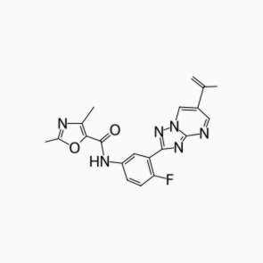 C=C(C)c1cnc2nc(-c3cc(NC(=O)c4oc(C)nc4C)ccc3F)nn2c1